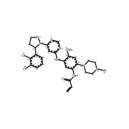 C=CC(=O)Nc1cc(Nc2cc(N3OCCC3c3cccc(Cl)c3Cl)ncn2)c(OC)cc1N1CCN(C(C)C)CC1